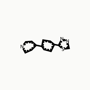 c1cc(-c2ccc(-c3nncs3)cc2)ccn1